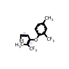 CC/C=C\C(Oc1ccc(C)cc1C(F)(F)F)=C(/C)C(F)(F)F